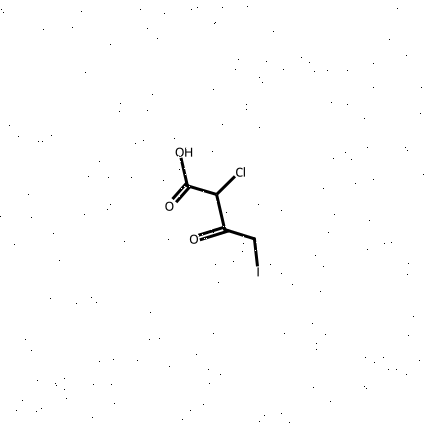 O=C(O)C(Cl)C(=O)CI